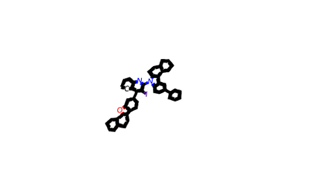 Ic1c(-n2c3ccc(-c4ccccc4)cc3c3c4ccccc4ccc32)nc2ccccc2c1-c1ccc2c(c1)oc1c3ccccc3ccc21